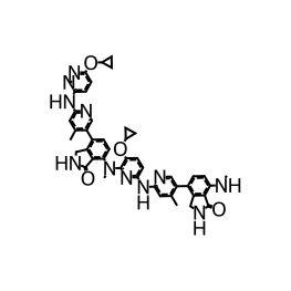 CNc1ccc(-c2cnc(Nc3ccc(OC4CC4)c(N(C)c4ccc(-c5cnc(Nc6ccc(OC7CC7)nn6)cc5C)c5c4C(=O)NC5)n3)cc2C)c2c1C(=O)NC2